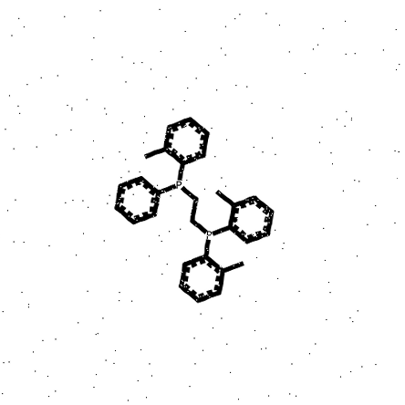 Cc1ccccc1P(CCP(c1ccccc1C)c1ccccc1C)c1ccccc1